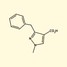 Cn1cc(C(=O)O)c(Cc2ccccc2)n1